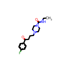 CCNC(=O)N1CCN(CCCC(=O)c2ccc(F)cc2)CC1